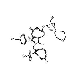 CS(=O)(=O)c1cc(Cl)ccc1CN1C(=O)c2cc(OC(O)C3(CO)CC3C3CCOCC3)cc(F)c2[C@H]1c1ccc(Cl)cc1